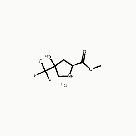 COC(=O)[C@@H]1CC(O)(C(F)(F)F)CN1.Cl